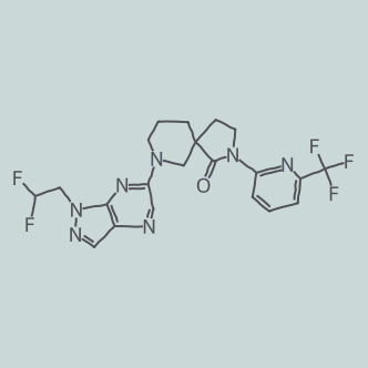 O=C1N(c2cccc(C(F)(F)F)n2)CCC12CCCN(c1cnc3cnn(CC(F)F)c3n1)C2